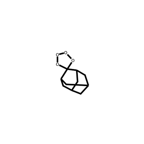 C1C2CC3CC1CC(C2)C31OOOO1